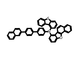 c1ccc2cc(-c3ccc(-c4ccc(N(c5cccc6oc7c8ccccc8ccc7c56)c5cccc6sc7ccccc7c56)cc4)cc3)ccc2c1